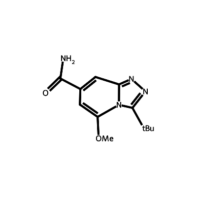 COc1cc(C(N)=O)cc2nnc(C(C)(C)C)n12